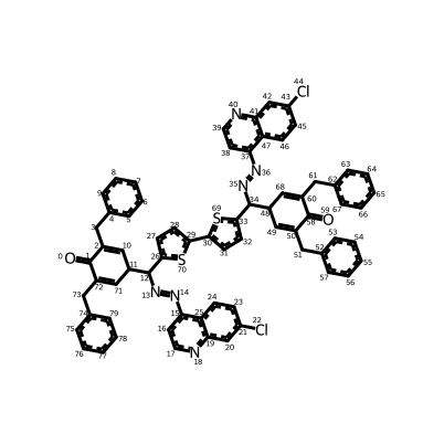 O=C1C(Cc2ccccc2)=CC(C(/N=N/c2ccnc3cc(Cl)ccc23)c2ccc(-c3ccc(C(/N=N/c4ccnc5cc(Cl)ccc45)C4C=C(Cc5ccccc5)C(=O)C(Cc5ccccc5)=C4)s3)s2)C=C1Cc1ccccc1